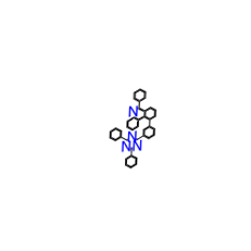 c1ccc(-c2nc(-c3ccccc3)nc(-c3cccc(-c4cccc5c(-c6ccccc6)nc6ccccc6c45)c3)n2)cc1